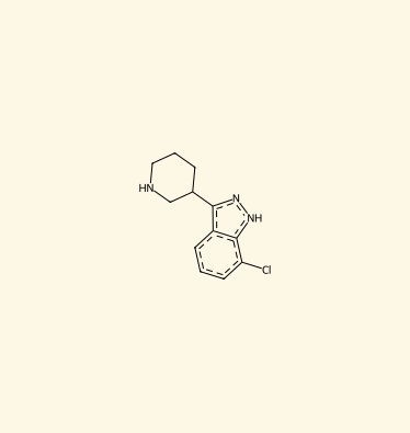 Clc1cccc2c(C3CCCNC3)n[nH]c12